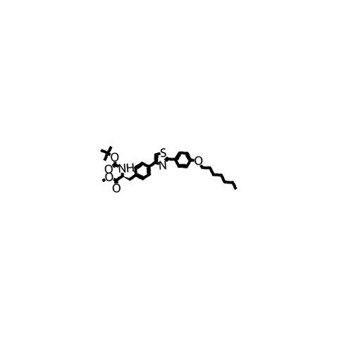 CCCCCCCOc1ccc(-c2nc(-c3ccc(C[C@H](NC(=O)OC(C)(C)C)C(=O)OC)cc3)cs2)cc1